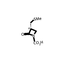 CSC[C@@H]1CN(C(=O)O)C1=O